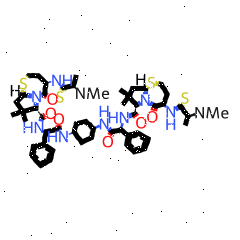 CN[C@@H](C)C(=S)N[C@H]1CCS[C@H]2CC(C)(C)[C@@H](C(=O)N[C@@H](C(=O)N[C@H]3CC[C@H](NC(=O)[C@@H](NC(=O)[C@H]4N5C(=O)[C@H](NC(=S)[C@H](C)NC)CCS[C@H]5CC4(C)C)c4ccccc4)CC3)c3ccccc3)N2C1=O